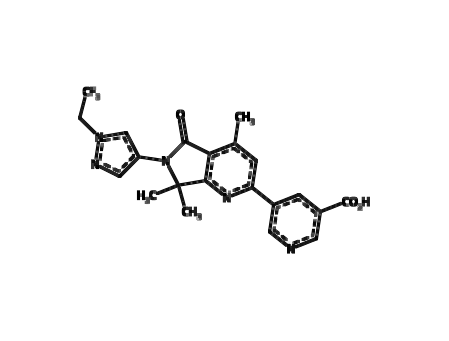 Cc1cc(-c2cncc(C(=O)O)c2)nc2c1C(=O)N(c1cnn(CC(F)(F)F)c1)C2(C)C